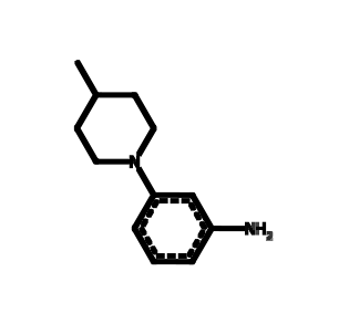 CC1CCN(c2cccc(N)c2)CC1